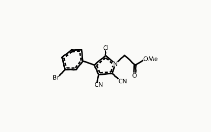 COC(=O)Cn1c(Cl)c(-c2cccc(Br)c2)c(C#N)c1C#N